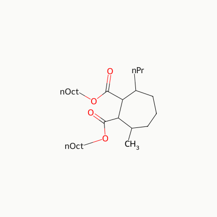 CCCCCCCCOC(=O)C1C(C)CCCC(CCC)C1C(=O)OCCCCCCCC